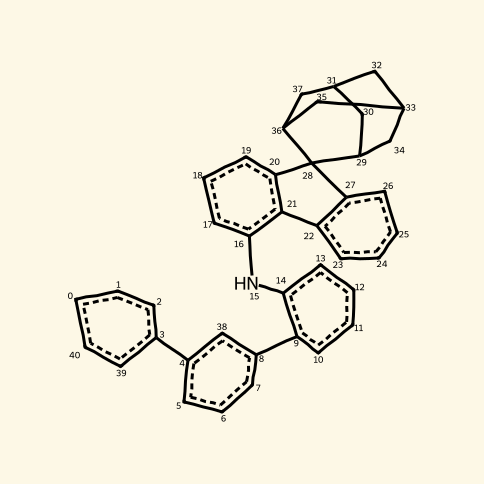 c1ccc(-c2cccc(-c3ccccc3Nc3cccc4c3-c3ccccc3C43C4CC5CC(C4)CC3C5)c2)cc1